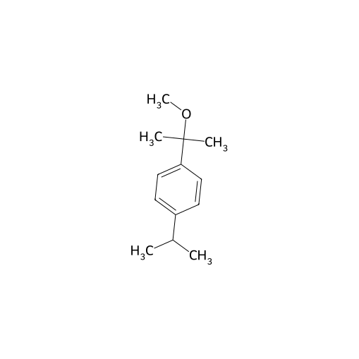 COC(C)(C)c1ccc(C(C)C)cc1